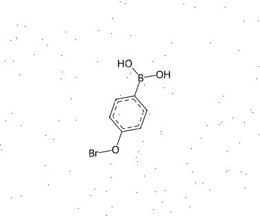 OB(O)c1ccc(OBr)cc1